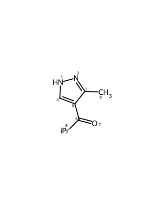 Cc1n[nH]cc1C(=O)C(C)C